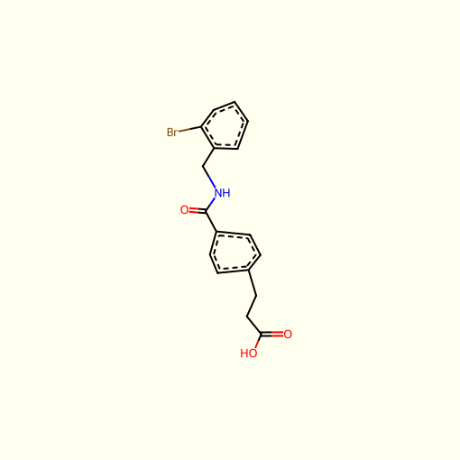 O=C(O)CCc1ccc(C(=O)NCc2ccccc2Br)cc1